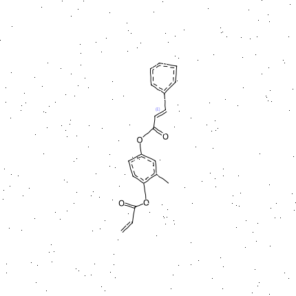 C=CC(=O)Oc1ccc(OC(=O)/C=C/c2ccccc2)cc1C